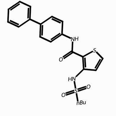 CCCCS(=O)(=O)Nc1ccsc1C(=O)Nc1ccc(-c2ccccc2)cc1